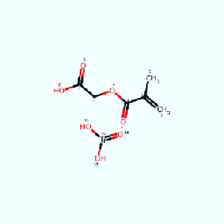 C=C(C)C(=O)OCC(=O)O.[O]=[Ti]([OH])[OH]